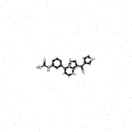 O=C(O)Nc1cccc(-c2ccnc3c(C(=O)c4ccoc4)cnn23)c1